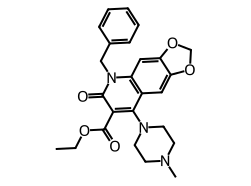 CCOC(=O)c1c(N2CCN(C)CC2)c2cc3c(cc2n(Cc2ccccc2)c1=O)OCO3